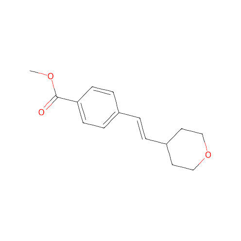 COC(=O)c1ccc(C=CC2CCOCC2)cc1